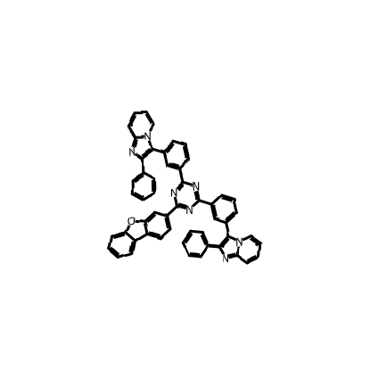 c1ccc(-c2nc3ccccn3c2-c2cccc(-c3nc(-c4cccc(-c5c(-c6ccccc6)nc6ccccn56)c4)nc(-c4ccc5c(c4)oc4ccccc45)n3)c2)cc1